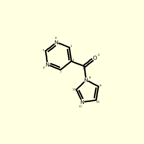 O=C(c1cncnc1)n1ccnc1